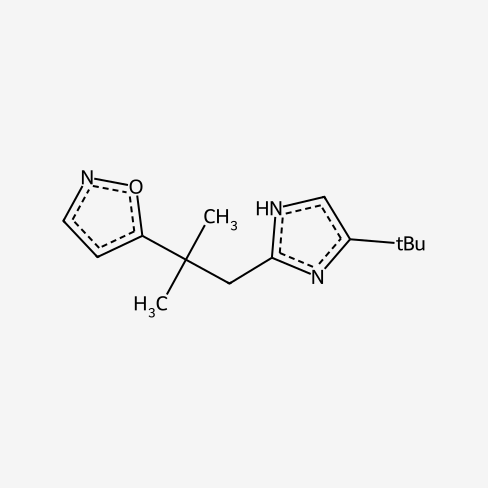 CC(C)(C)c1c[nH]c(CC(C)(C)c2ccno2)n1